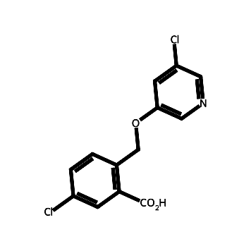 O=C(O)c1cc(Cl)ccc1COc1cncc(Cl)c1